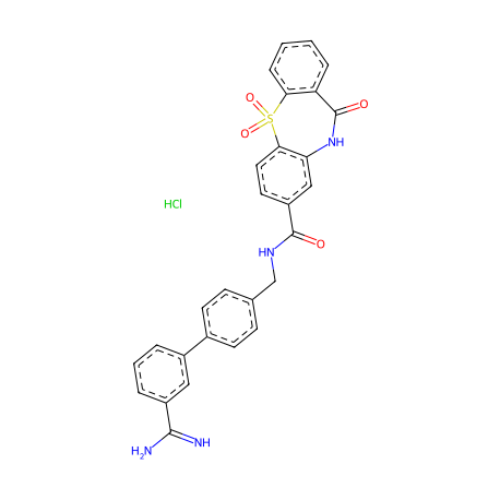 Cl.N=C(N)c1cccc(-c2ccc(CNC(=O)c3ccc4c(c3)NC(=O)c3ccccc3S4(=O)=O)cc2)c1